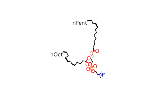 CCCCC/C=C\C/C=C\CCCCCCCC(=O)OC[C@H](COP(=O)([O-])OCC[N+](C)(C)C)OC(=O)CCC/C=C\C/C=C\C/C=C\CCCCCCCC